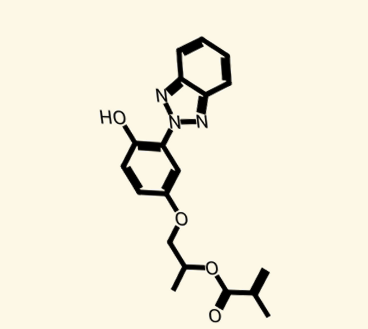 C=C(C)C(=O)OC(C)COc1ccc(O)c(-n2nc3ccccc3n2)c1